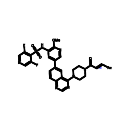 COc1ncc(-c2ccc3ncnc(N4CCN(C(=O)/C=C/C(C)=O)CC4)c3c2)cc1NS(=O)(=O)c1c(F)cncc1F